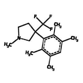 Cc1cc(C)c(C)c(C2(C(F)(F)F)CCN(C)C2)c1C